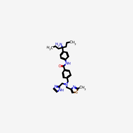 CCCC(N)(CCC)c1ccc(NC(=O)c2ccc(CN(Cc3csc(C)n3)Cc3ncc[nH]3)cc2)cc1